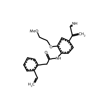 C=Cc1ccccc1CC(=O)Nc1ccc(C(=C)C=N)cc1OCCOC